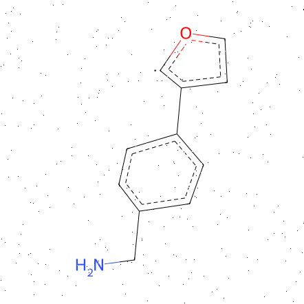 NCc1ccc(-c2[c]occ2)cc1